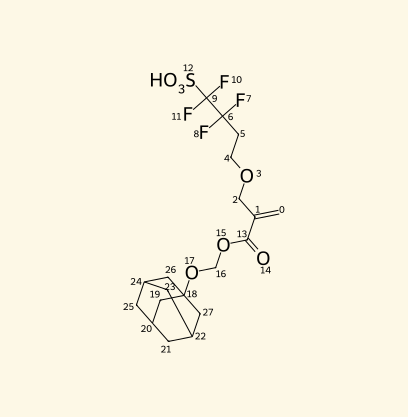 C=C(COCCC(F)(F)C(F)(F)S(=O)(=O)O)C(=O)OCOC12CC3CC(CC(C3)C1)C2